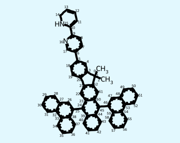 CC1(C)c2cc(-c3ccc(C4=CC=CCN4)nc3)ccc2-c2cc3c(-c4cc5ccccc5c5ccccc45)c4ccccc4c(-c4cc5ccccc5c5ccccc45)c3cc21